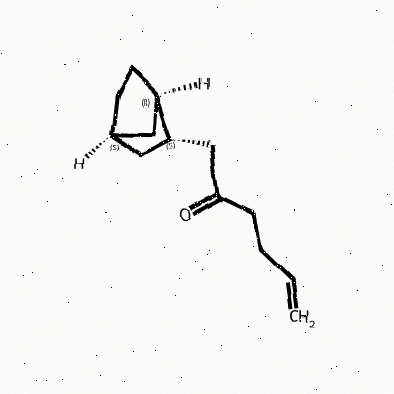 C=CCCC(=O)C[C@@H]1C[C@H]2CC[C@@H]1C2